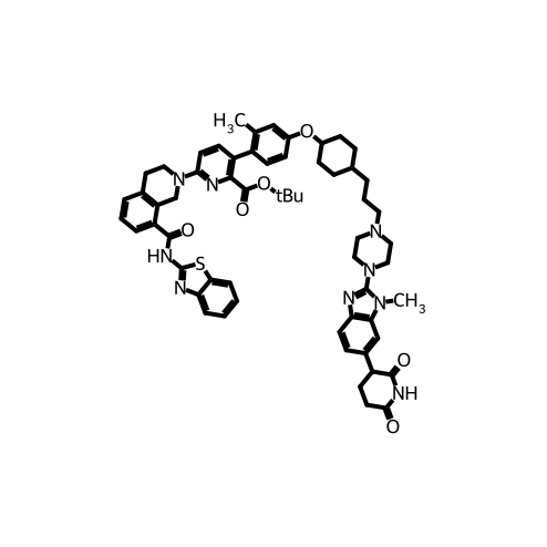 Cc1cc(OC2CCC(CCCN3CCN(c4nc5ccc(C6CCC(=O)NC6=O)cc5n4C)CC3)CC2)ccc1-c1ccc(N2CCc3cccc(C(=O)Nc4nc5ccccc5s4)c3C2)nc1C(=O)OC(C)(C)C